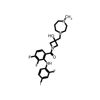 CN1CCCN(CC2(O)CN(C(=O)c3ccc(F)c(F)c3Nc3ccc(I)cc3F)C2)CC1